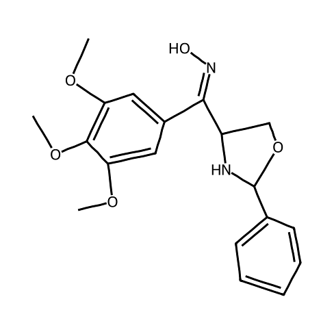 COc1cc(/C(=N\O)C2COC(c3ccccc3)N2)cc(OC)c1OC